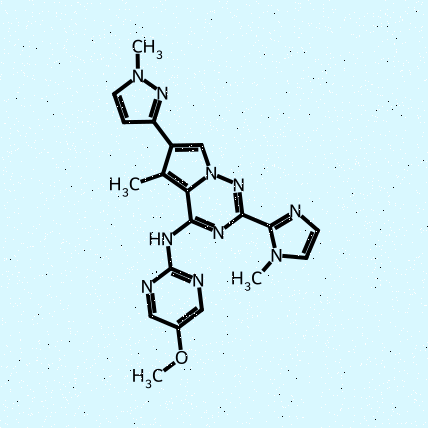 COc1cnc(Nc2nc(-c3nccn3C)nn3cc(-c4ccn(C)n4)c(C)c23)nc1